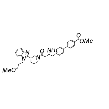 COCCCn1c(C2CCCN(C(=O)CC(N)Cc3ccc(-c4ccc(C(=O)OC)cc4)cc3)C2)nc2ccccc21